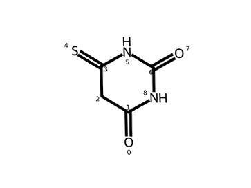 O=C1CC(=S)NC(=O)N1